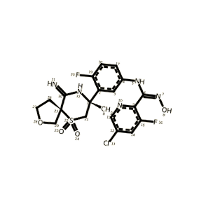 C[C@@]1(c2cc(N/C(=N/O)c3ncc(Cl)cc3F)ccc2F)CS(=O)(=O)[C@@]2(CCOC2)C(=N)N1